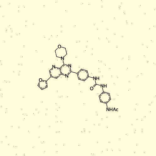 CC(=O)Nc1ccc(NC(=O)Nc2ccc(-c3nc(N4CCOCC4)c4ncc(-c5ccco5)cc4n3)cc2)cc1